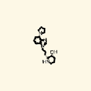 O[C@H]1CCCN[C@@H]1CCCn1cnc2c(N3CCCC3)cccc21